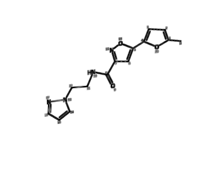 Cc1ccc(-c2cc(C(=O)NCCn3cccn3)no2)o1